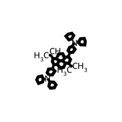 CC(C)c1cc(-c2ccc(N(c3ccccc3)c3ccccc3)cc2)c2ccc3c(C(C)C)cc(-c4ccc(N(c5ccccc5)c5ccccc5)cc4)c4ccc1c2c43